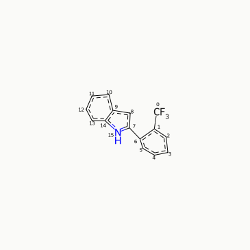 FC(F)(F)c1ccccc1-c1cc2ccccc2[nH]1